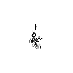 CC#CCOc1ccc(S(=O)(=O)NC(C(=O)NO)C(C)SC(C)CC)cc1